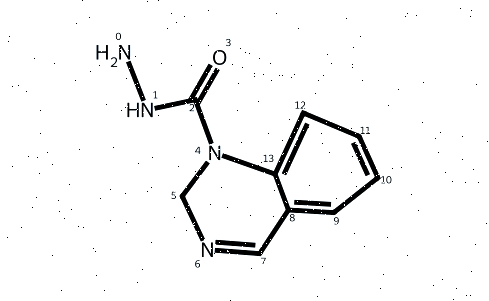 NNC(=O)N1CN=Cc2ccccc21